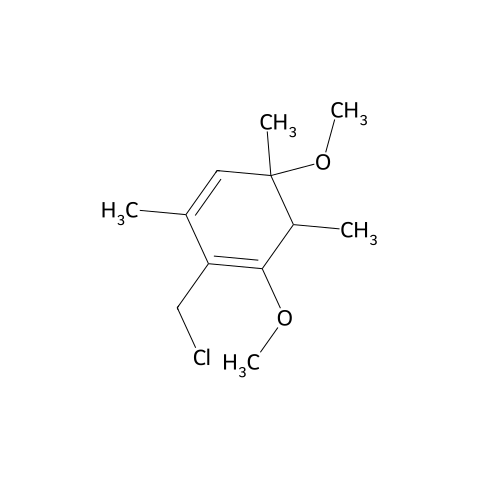 COC1=C(CCl)C(C)=CC(C)(OC)C1C